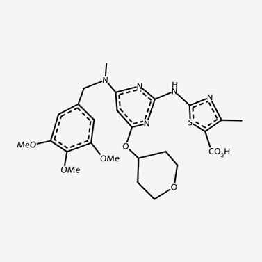 COc1cc(CN(C)c2cc(OC3CCOCC3)nc(Nc3nc(C)c(C(=O)O)s3)n2)cc(OC)c1OC